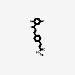 O=C(C=Cc1ccc(C=CC(=O)c2cc(F)ccc2F)cc1)NO